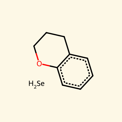 [SeH2].c1ccc2c(c1)CCCO2